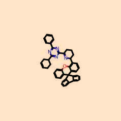 C1=CCC(c2nc(C3=NC(c4cccc5c4Oc4ccccc4C54c5ccccc5-c5ccccc54)CCC3)nc(-c3ccccc3)n2)CC1